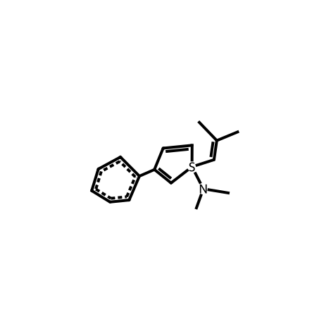 CC(C)=CS1(N(C)C)C=CC(c2ccccc2)=C1